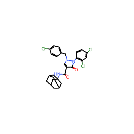 O=C(NC12CC3CC(CC(C3)C1)C2)c1cn(Cc2ccc(Cl)cc2)n(-c2ccc(Cl)cc2Cl)c1=O